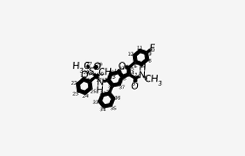 CNC(=O)c1c(-c2ccc(F)cc2)oc2cc(NC(C)(c3ccccc3)S(C)(=O)=O)c(-c3ccccc3)cc12